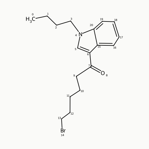 CCCCn1cc(C(=O)CCCCCBr)c2ccccc21